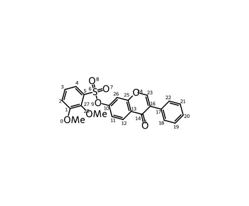 COc1cccc(S(=O)(=O)Oc2ccc3c(=O)c(-c4ccccc4)coc3c2)c1OC